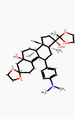 CN(C)c1ccc(C2C[C@@]3(C)[C@@H](CC[C@]3(O)C3(C)OCCO3)[C@@H]3CC[C@@]4(O)CC5(CCC4=C23)OCCO5)cc1